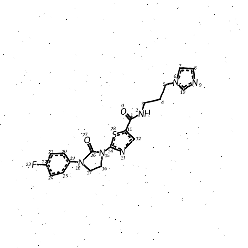 O=C(NCCCn1ccnc1)c1cnc(N2CCN(c3ccc(F)cc3)C2=O)s1